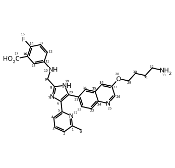 Cc1cccc(-c2nc(CNc3ccc(F)c(C(=O)O)c3)[nH]c2-c2ccc3ncc(OCCCCN)cc3c2)n1